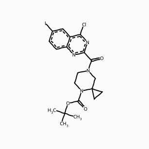 CC(C)(C)OC(=O)N1CCN(C(=O)c2nc(Cl)c3cc(I)ccc3n2)CC12CC2